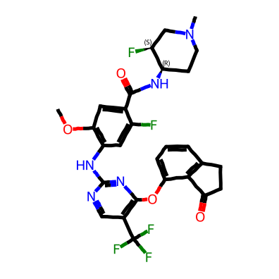 COc1cc(C(=O)N[C@@H]2CCN(C)C[C@@H]2F)c(F)cc1Nc1ncc(C(F)(F)F)c(Oc2cccc3c2C(=O)CC3)n1